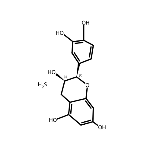 Oc1cc(O)c2c(c1)O[C@H](c1ccc(O)c(O)c1)[C@H](O)C2.S